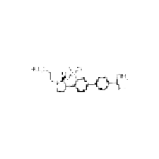 CS(=O)(=O)c1cc(-c2ccc(C(=N)N)cc2)ccc1N1CCN(CCC(=O)O)C1=O